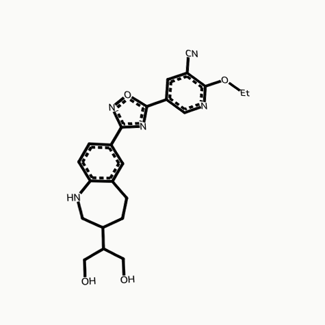 CCOc1ncc(-c2nc(-c3ccc4c(c3)CCC(C(CO)CO)CN4)no2)cc1C#N